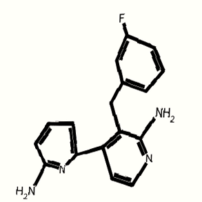 Nc1cccc(-c2ccnc(N)c2Cc2cccc(F)c2)n1